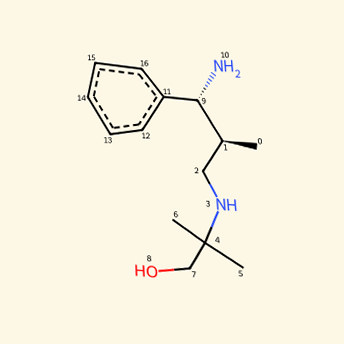 C[C@@H](CNC(C)(C)CO)[C@@H](N)c1ccccc1